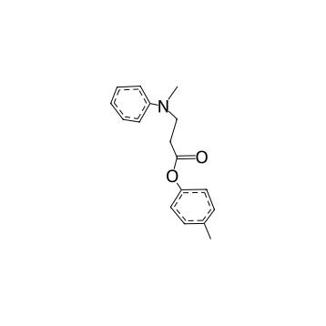 Cc1ccc(OC(=O)CCN(C)c2ccccc2)cc1